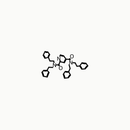 O=C(c1ccnc(C(=O)N(CCc2ccccc2)CCc2ccccc2)c1)N(CCc1ccccc1)CCc1ccccc1